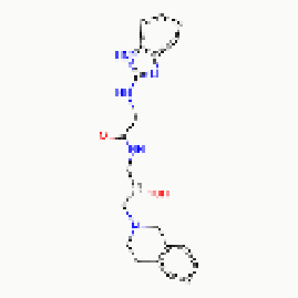 O=C(CNc1nc2ccccc2[nH]1)NC[C@H](O)CN1CCc2ccccc2C1